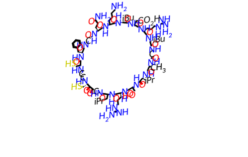 CC[C@H](C)[C@@H]1NC(=O)C(CCCCN)NC(=O)[C@H](CCC(N)=O)NC(=O)CNC(=O)[C@H](Cc2ccccc2)NC(=O)C(CS)NCCN[C@@H](CS)C(=O)C(=O)CNC(=O)C(CC(C)C)NC(=O)[C@H](CCCNC(=N)N)NC(=O)C(CO)NC(=O)[C@H](C(C)C)NC(=O)C(C)NC(=O)CNC(=O)[C@H]([C@@H](C)CC)NC(=O)[C@H](CCCNC(=N)N)NC(=O)C(CC(=O)O)NC1=O